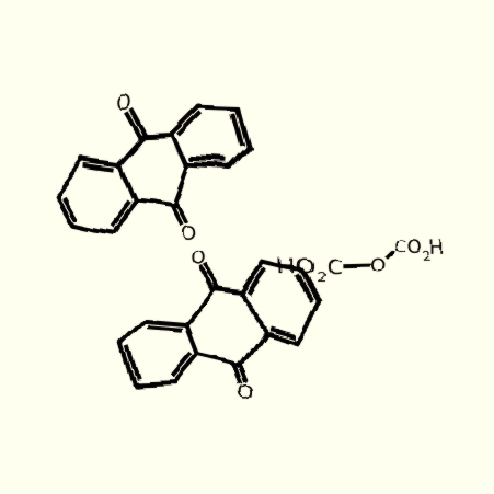 O=C(O)OC(=O)O.O=C1c2ccccc2C(=O)c2ccccc21.O=C1c2ccccc2C(=O)c2ccccc21